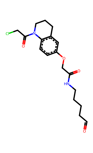 O=CCCCCNC(=O)COc1ccc2c(c1)CCCN2C(=O)CCl